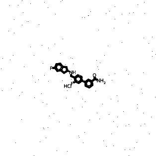 Cl.NC(=O)c1cccc(-c2ccc(CN[C@@H]3Cc4ccc(F)cc4C3)c(F)c2)c1